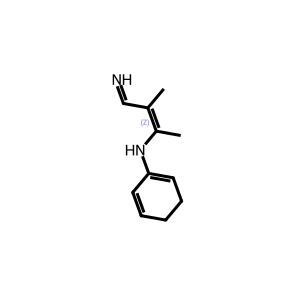 C/C(C=N)=C(\C)NC1=CCCC=C1